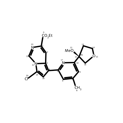 CCOC(=O)c1cc2c(-c3cc(C)cc([C@]4(OC)CCOC4)n3)cc(Cl)n2cn1